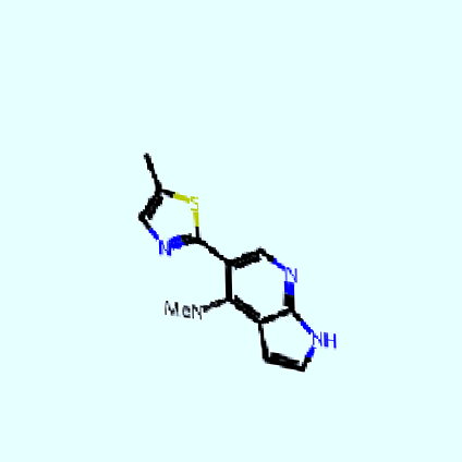 CNc1c(-c2ncc(C)s2)cnc2[nH]ccc12